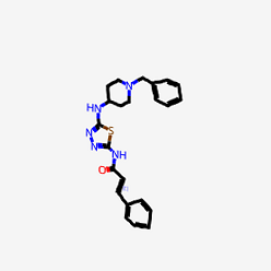 O=C(/C=C/c1ccccc1)Nc1nnc(NC2CCN(Cc3ccccc3)CC2)s1